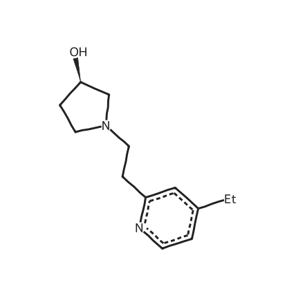 CCc1ccnc(CCN2CC[C@@H](O)C2)c1